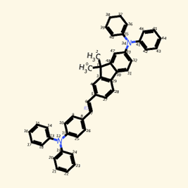 CC1(C)c2cc(/C=C/c3ccc(N(c4ccccc4)c4ccccc4)cc3)ccc2-c2ccc(N(C3=CCCC=C3)c3ccccc3)cc21